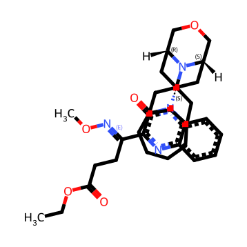 CCOC(=O)CC/C(=N\OC)c1nc2ccccc2n([C@H]2C[C@H]3COC[C@@H](C2)N3C2CC3CCCCC(C3)C2)c1=O